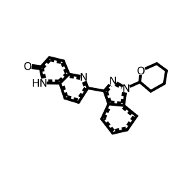 O=c1ccc2nc(-c3nn(C4CCCCO4)c4ccccc34)ccc2[nH]1